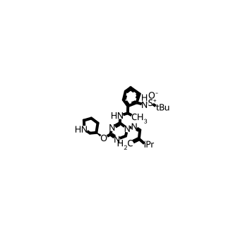 C=C(/C=N\N1CN=C(O[C@@H]2CCCNC2)N=C1NC(C)c1ccccc1N[S+]([O-])C(C)(C)C)C(C)C